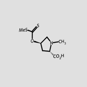 CSC(=S)O[C@@H]1C[C@@H](C(=O)O)N(C)C1